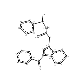 CC(NC(=O)Cn1cc(C(=O)c2ccccc2)c2ccccc21)c1ccccc1